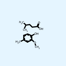 CC(C)CCC(=O)O.COc1cc(C)ccc1O